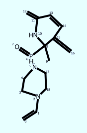 C=CN1CCN([PH](=O)C2(C)NC(=C)C=CC2=C)CC1